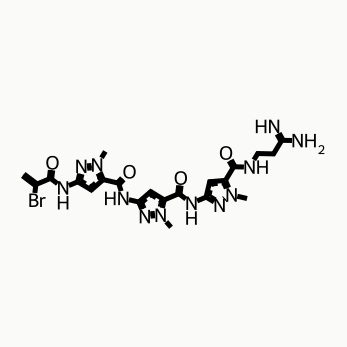 C=C(Br)C(=O)Nc1cc(C(=O)Nc2cc(C(=O)Nc3cc(C(=O)NCCC(=N)N)n(C)n3)n(C)n2)n(C)n1